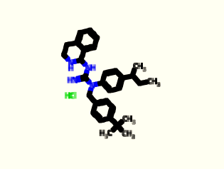 CCC(C)c1ccc(N(Cc2ccc(C(C)(C)C)cc2)C(=N)NC2NCCc3ccccc32)cc1.Cl